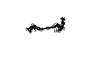 Cc1ncsc1-c1ccc(CNC(=O)[C@@H]2C[C@@H](O)CN2C(=O)C(NC(=O)COCCCCOCCCCCOc2ccc(N3C(=S)N(c4ccc(C#N)c(C(F)(F)F)c4)C(=O)C3(C)C)cc2)C(C)(C)C)cc1